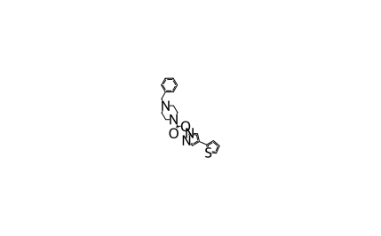 O=C(On1cc(-c2cccs2)cn1)N1CCN(Cc2ccccc2)CC1